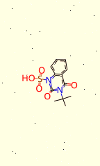 CC(C)(C)n1c(=O)c2ccccc2n(S(=O)(=O)O)c1=O